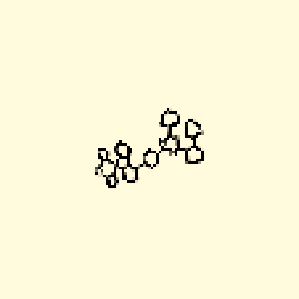 c1ccc(-c2nc(-c3ccc(-c4cccc5c4-c4ccccc4C54c5ccccc5Oc5ccccc54)cc3)nc(-c3ccccc3-c3ccccc3)n2)cc1